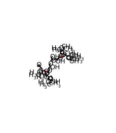 CC(C)(C)c1cc(C(C)(CC(=O)OCC(O)COCC(CO)OCC(O)COC(=O)CC(C)(c2ccc(O)c(C(C)(C)C)c2)c2ccc(O)c(C(C)(C)C)c2)c2ccc(OCC3CO3)c(C(C)(C)C)c2)ccc1O